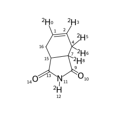 [2H]C1=C([2H])C([2H])([2H])C2([2H])C(=O)N([2H])C(=O)C2C1